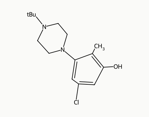 Cc1c(O)cc(Cl)cc1N1CCN(C(C)(C)C)CC1